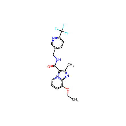 CCOc1cccn2c(C(=O)NCc3ccc(C(F)(F)F)nc3)c(C)nc12